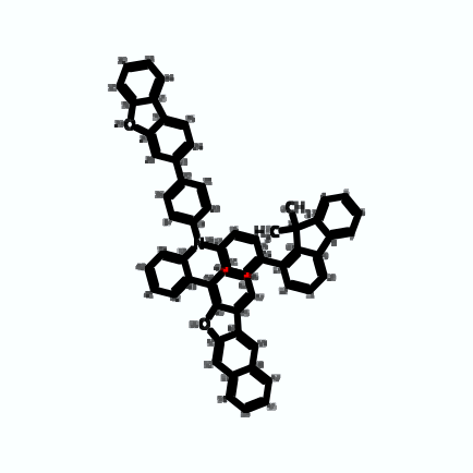 CC1(C)c2ccccc2-c2cccc(-c3ccc(N(c4ccc(-c5ccc6c(c5)oc5ccccc56)cc4)c4ccccc4-c4cccc5c4oc4cc6ccccc6cc45)cc3)c21